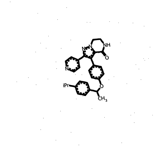 CC(C)c1ccc(C(C)Oc2ccc(-c3c(-c4ccncc4)nn4c3C(=O)NCC4)cc2)cc1